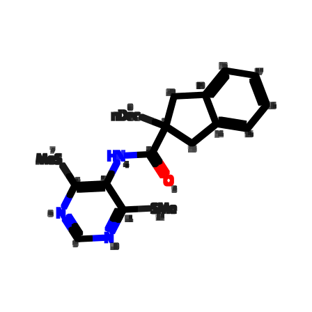 CCCCCCCCCCC1(C(=O)Nc2c(SC)ncnc2SC)Cc2ccccc2C1